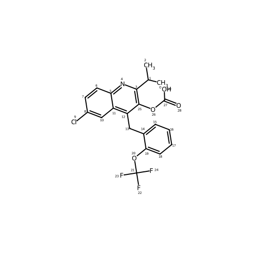 CC(C)c1nc2ccc(Cl)cc2c(Cc2ccccc2OC(F)(F)F)c1OC(=O)O